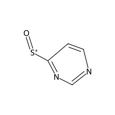 O=[S+]c1ccncn1